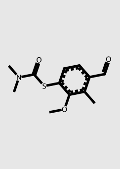 COc1c(SC(=O)N(C)C)ccc(C=O)c1C